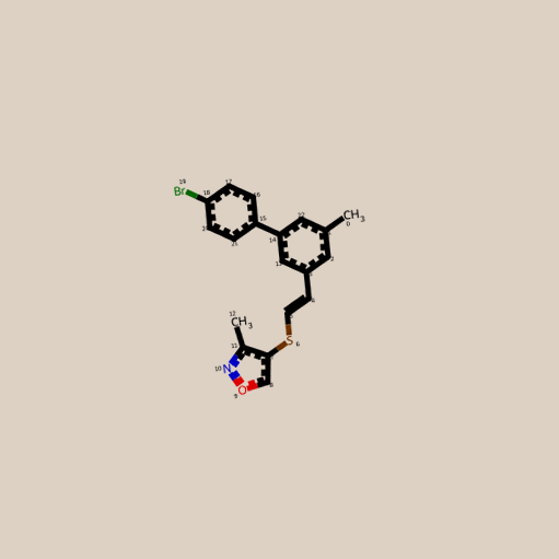 Cc1cc(C=CSc2conc2C)cc(-c2ccc(Br)cc2)c1